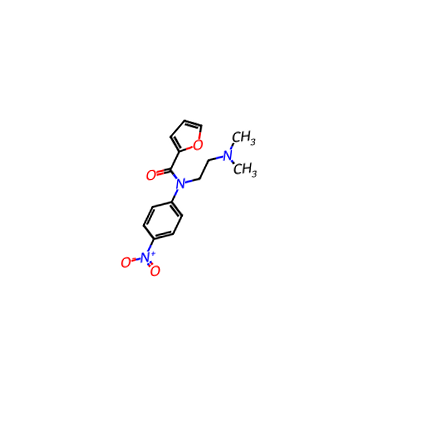 CN(C)CCN(C(=O)c1ccco1)c1ccc([N+](=O)[O-])cc1